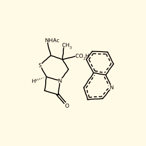 CC(=O)NC1S[C@@H]2CC(=O)N2CC1(C)C(=O)O.c1ccc2ncccc2c1